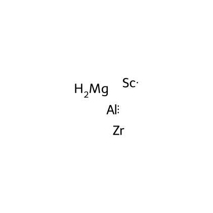 [Al].[MgH2].[Sc].[Zr]